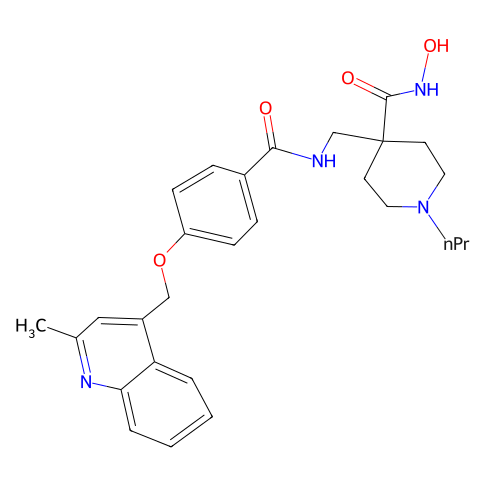 CCCN1CCC(CNC(=O)c2ccc(OCc3cc(C)nc4ccccc34)cc2)(C(=O)NO)CC1